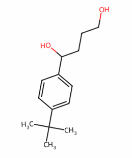 CC(C)(C)c1ccc(C(O)CCCO)cc1